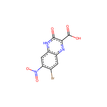 O=C(O)c1nc2cc(Br)c([N+](=O)[O-])cc2[nH]c1=O